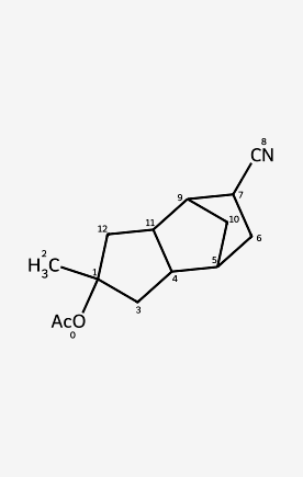 CC(=O)OC1(C)CC2C3CC(C#N)C(C3)C2C1